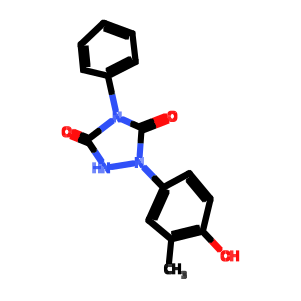 Cc1cc(-n2[nH]c(=O)n(-c3ccccc3)c2=O)ccc1O